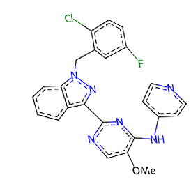 COc1cnc(-c2nn(Cc3cc(F)ccc3Cl)c3ccccc23)nc1Nc1ccncc1